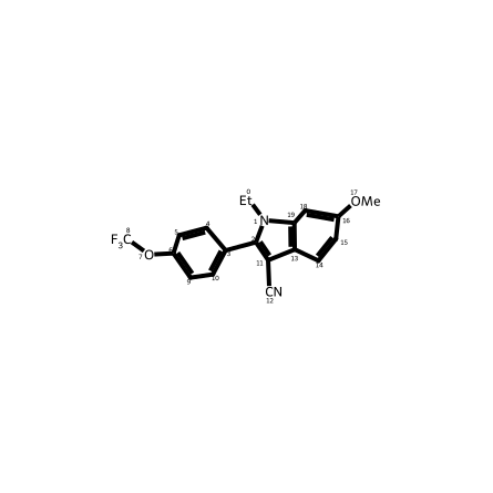 CCn1c(-c2ccc(OC(F)(F)F)cc2)c(C#N)c2ccc(OC)cc21